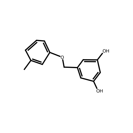 Cc1cccc(OCc2cc(O)cc(O)c2)c1